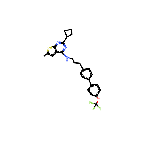 Cc1cc2c(NCCCc3ccc(-c4ccc(OC(F)(F)F)cc4)cc3)nc(C3CCC3)nc2s1